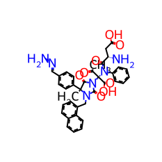 CC(=O)[C@@](C(=O)O)(N1C(=O)N(Cc2cccc3ccccc23)[C@](C)(c2ccc(C=NN)cc2)C1=O)N(C(=O)[C@@H](N)CC(=O)O)c1ccccc1